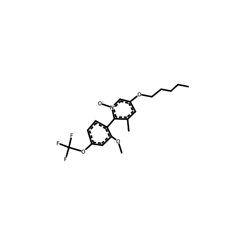 CCCCCOc1cc(C)c(-c2ccc(OC(F)(F)F)cc2OC)[n+]([O-])c1